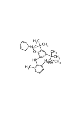 CCNCc1cccc(C)c1Pc1cc(C(C)(C)C)cc(C(C)(C)C)c1OCC1C=CC=CC1